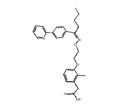 CCCCC(=NOCCOc1cccc(CC(=O)O)c1C)c1ccc(-c2ccccn2)cc1